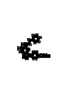 COc1ccc(-n2nnc3c2=NC(NCCc2ccccc2)NC=3)cc1